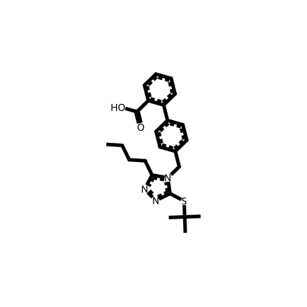 CCCCc1nnc(SC(C)(C)C)n1Cc1ccc(-c2ccccc2C(=O)O)cc1